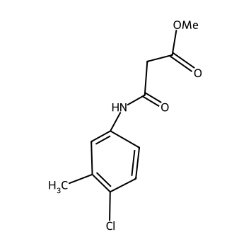 COC(=O)CC(=O)Nc1ccc(Cl)c(C)c1